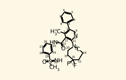 Cc1c(-c2ccccc2)cnc(N2CCCC(F)(F)CC2)c1C(=O)Nc1cccc([S@@](C)(=N)=O)c1